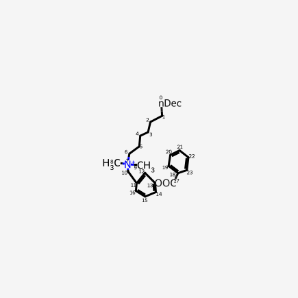 CCCCCCCCCCCCCCCC[N+](C)(C)Cc1ccccc1.O=C([O-])c1ccccc1